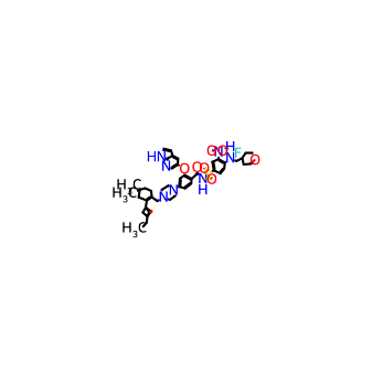 CCC12CC(C3=C(CN4CCN(c5ccc(C(=O)NS(=O)(=O)c6ccc(NCC7(F)CCOCC7)c([N+](=O)[O-])c6)c(Oc6cnc7[nH]ccc7c6)c5)CC4)CCC(C)(C)C3)(C1)C2